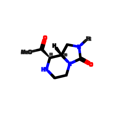 CCN1C[C@H]2[C@@H](C(=O)OC)NCCN2C1=O